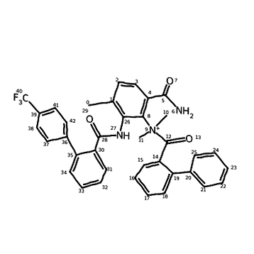 Cc1ccc(C(N)=O)c([N+](C)(C)C(=O)c2ccccc2-c2ccccc2)c1NC(=O)c1ccccc1-c1ccc(C(F)(F)F)cc1